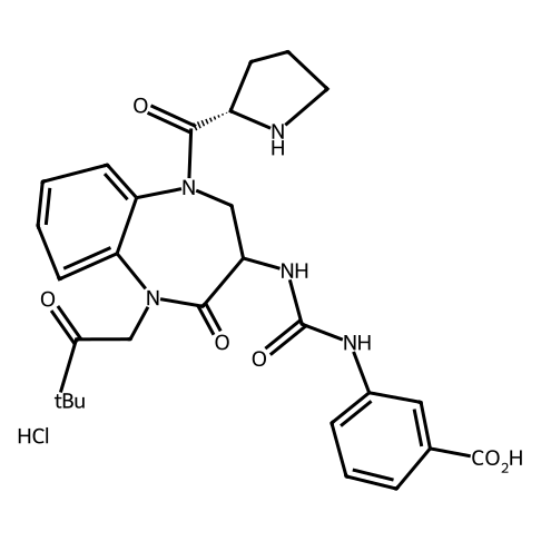 CC(C)(C)C(=O)CN1C(=O)C(NC(=O)Nc2cccc(C(=O)O)c2)CN(C(=O)[C@@H]2CCCN2)c2ccccc21.Cl